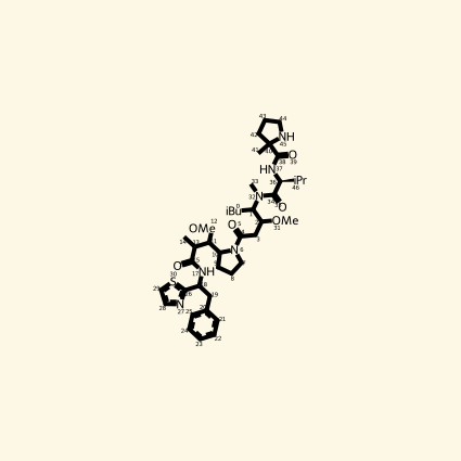 CCC(C)C(C(CC(=O)N1CCCC1C(OC)C(C)C(=O)NC(Cc1ccccc1)c1nccs1)OC)N(C)C(=O)[C@@H](NC(=O)C1(C)CCCN1)C(C)C